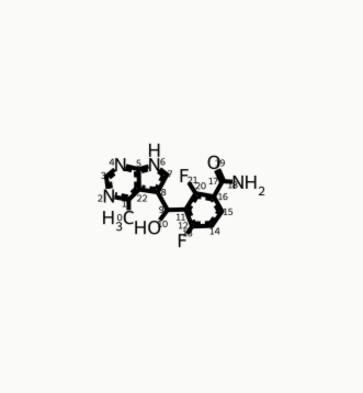 Cc1ncnc2[nH]cc(C(O)c3c(F)ccc(C(N)=O)c3F)c12